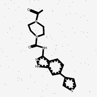 CC(=O)N1CCN(C(=O)Nc2n[nH]c3cc(-c4ccsc4)ccc23)CC1